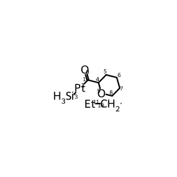 O=[C]([Pt][SiH3])C1CCCCO1.[CH2]CC